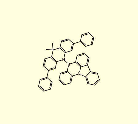 CC1(C)c2ccc(-c3ccccc3)cc2N(B2c3ccccc3-n3c4ccccc4c4cccc2c43)c2cc(-c3ccccc3)ccc21